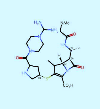 CNCC(=O)N[C@H](C)[C@H]1C(=O)N2C(C(=O)O)=C(S[C@@H]3CNC(C(=O)N4CCN(C(N)N)CC4)C3)C(C)[C@H]12